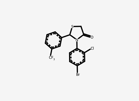 O=C1CSC(c2cccc(C(F)(F)F)c2)N1c1ccc(Br)cc1Cl